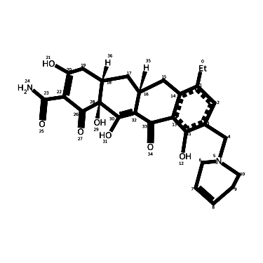 CCc1cc(CN2CC=CCC2)c(O)c2c1C[C@H]1C[C@H]3CC(O)=C(C(N)=O)C(=O)[C@@]3(O)C(O)=C1C2=O